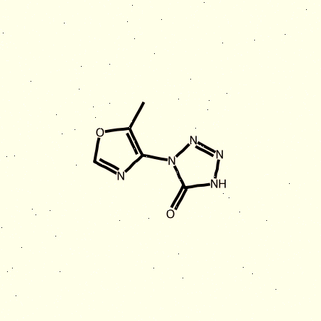 Cc1ocnc1-n1nn[nH]c1=O